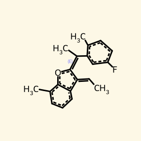 CC=c1/c(=C(/C)c2cc(F)ccc2C)oc2c(C)cccc12